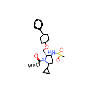 COC(=O)N1C(C2CC2)C[C@H](NS(C)(=O)=O)[C@@H]1COC1CCC(c2ccccc2)CC1